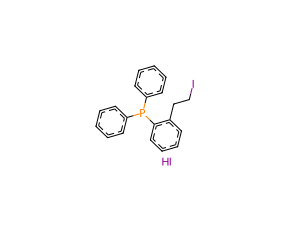 I.ICCc1ccccc1P(c1ccccc1)c1ccccc1